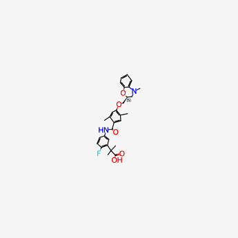 Cc1cc(C(=O)Nc2ccc(F)c(C(C)(C)C(=O)O)c2)c(C)cc1OC[C@@H]1CN(C)c2ccccc2O1